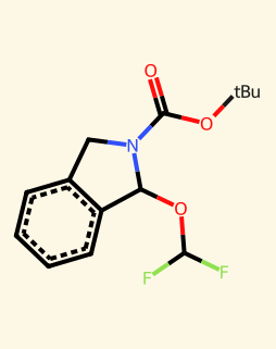 CC(C)(C)OC(=O)N1Cc2ccccc2C1OC(F)F